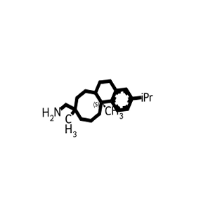 CC(C)c1ccc2c(c1)CCC1CCC(C)(CN)CCC[C@]21C